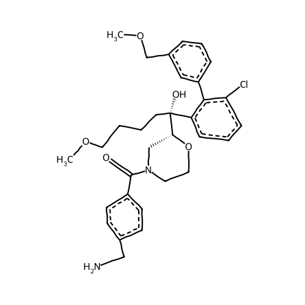 COCCCC[C@@](O)(c1cccc(Cl)c1-c1cccc(COC)c1)[C@H]1CN(C(=O)c2ccc(CN)cc2)CCO1